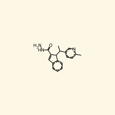 Cc1ccc(C(C)C2C(C(=O)NN)=Cc3ccccc32)cn1